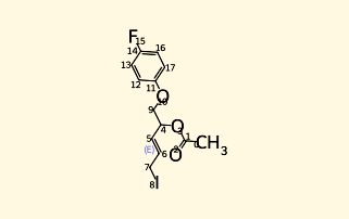 CC(=O)OC(/C=C/CI)COc1ccc(F)cc1